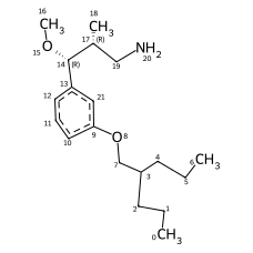 CCCC(CCC)COc1cccc([C@H](OC)[C@H](C)CN)c1